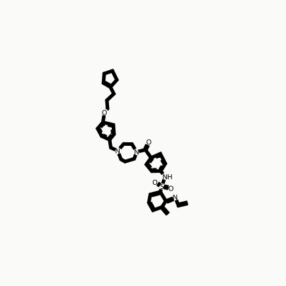 C=C/N=C1\C(=C)C=CC=C1S(=O)(=O)Nc1ccc(C(=O)N2CCCN(Cc3ccc(OCCCC4=CCCC4)cc3)CC2)cc1